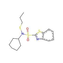 CCCSN(C1CCCCC1)S(=O)(=O)c1nc2ccccc2s1